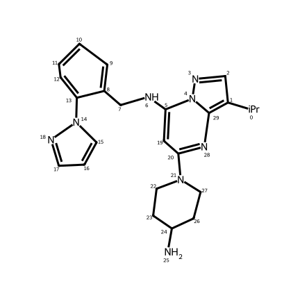 CC(C)c1cnn2c(NCc3ccccc3-n3cccn3)cc(N3CCC(N)CC3)nc12